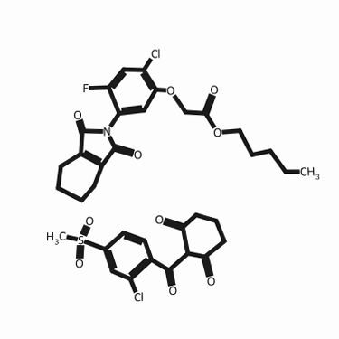 CCCCCOC(=O)COc1cc(N2C(=O)C3=C(CCCC3)C2=O)c(F)cc1Cl.CS(=O)(=O)c1ccc(C(=O)C2C(=O)CCCC2=O)c(Cl)c1